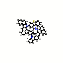 CCC1C(c2cccc3ccccc23)=NC(c2cc(-n3c4cc5ccccc5cc4c4c5ccccc5ccc43)cc3sc4ccccc4c23)CCC1c1cccc2c3ccccc3n(-c3ccccc3)c12